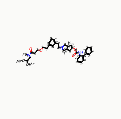 CCN(CC(OC)OC)C(=O)CCOCCc1cccc(CCN2C[C@H]3C[C@H](OC(=O)Nc4ccccc4-c4ccccc4)C[C@H]3C2)c1